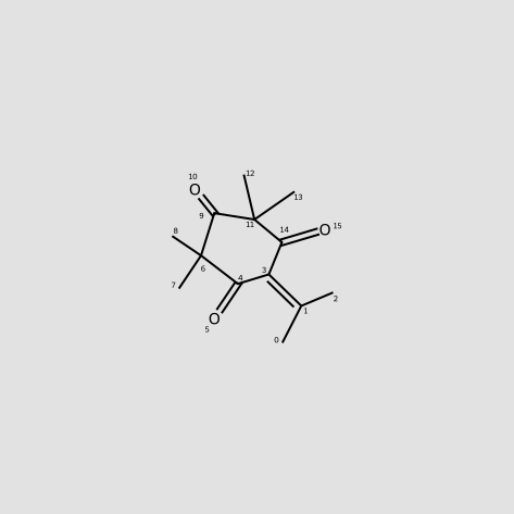 CC(C)=C1C(=O)C(C)(C)C(=O)C(C)(C)C1=O